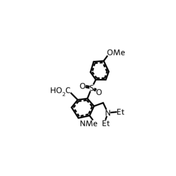 CCN(CC)Cc1c(NC)ccc(C(=O)O)c1S(=O)(=O)c1ccc(OC)cc1